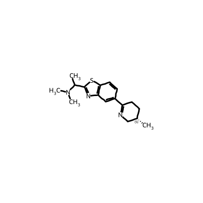 CC(c1nc2cc(C3=NC[C@@H](C)CC3)ccc2s1)N(C)C